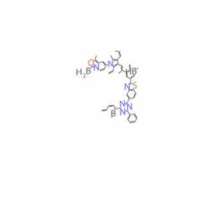 Bc1nc(/C=C(\C=C)n2c(C)c(/C=C\C)c(/C=C(C)/C(C=C)=C/C(=C\BC)c3nc4cc(-c5nc(C(=B/C)/C=C\C=C)nc(-c6ccccc6)n5)ccc4s3)c2C=C)c(C)o1